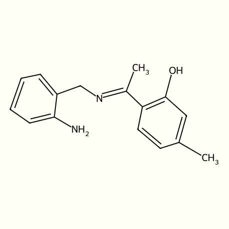 C/C(=N\Cc1ccccc1N)c1ccc(C)cc1O